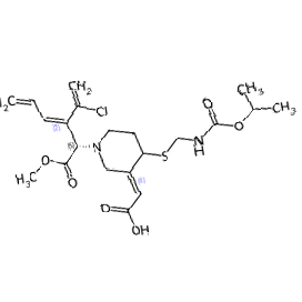 C=C/C=C(\C(=C)Cl)[C@@H](C(=O)OC)N1CCC(SCNC(=O)OC(C)C)/C(=C/C(=O)O)C1